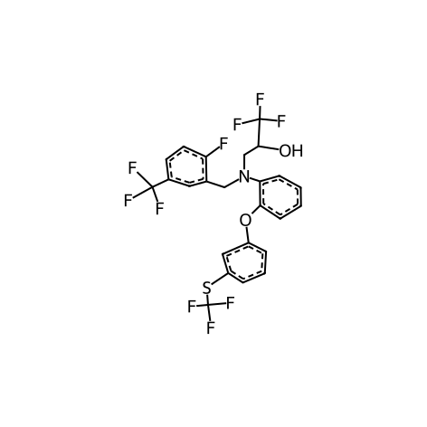 OC(CN(Cc1cc(C(F)(F)F)ccc1F)c1ccccc1Oc1cccc(SC(F)(F)F)c1)C(F)(F)F